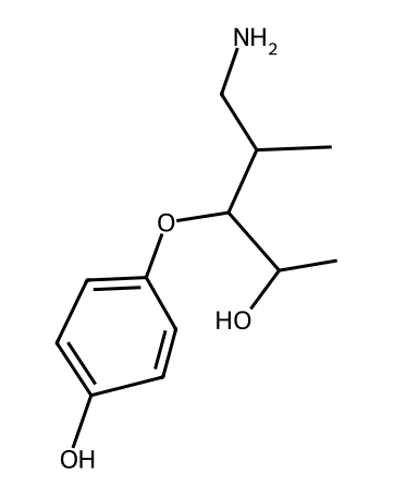 CC(O)C(Oc1ccc(O)cc1)C(C)CN